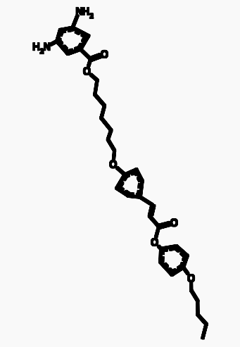 CCCCCOc1ccc(OC(=O)/C=C/c2ccc(OCCCCCCCOC(=O)c3cc(N)cc(N)c3)cc2)cc1